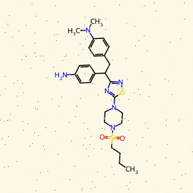 CCCCS(=O)(=O)N1CCN(c2nc(C(Cc3ccc(N(C)C)cc3)c3ccc(N)cc3)ns2)CC1